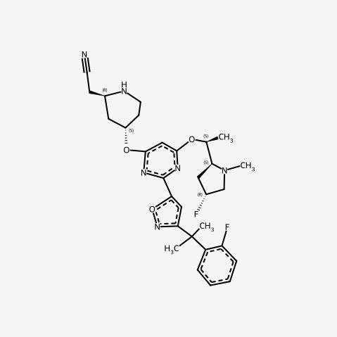 C[C@H](Oc1cc(O[C@H]2CCN[C@H](CC#N)C2)nc(-c2cc(C(C)(C)c3ccccc3F)no2)n1)[C@@H]1C[C@@H](F)CN1C